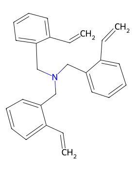 C=Cc1ccccc1CN(Cc1ccccc1C=C)Cc1ccccc1C=C